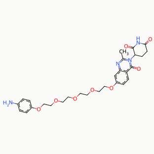 Cc1nc2cc(OCCOCCOCCOCCOc3ccc(N)cc3)ccc2c(=O)n1C1CCC(=O)NC1=O